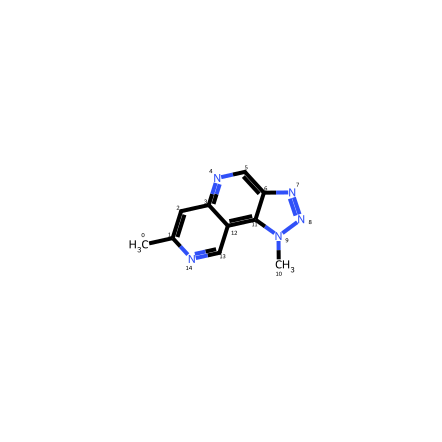 Cc1cc2ncc3nnn(C)c3c2cn1